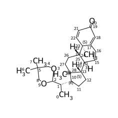 CC(C1OCC(C)(C)CO1)[C@H]1CC[C@H]2[C@@H]3C=CC4=CC(=O)C=C[C@]4(C)[C@H]3CC[C@]12C